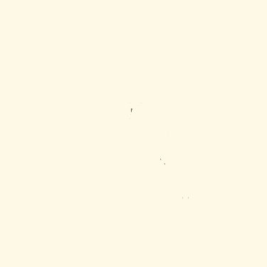 C=CCCC(=O)N(CCOC)C(C)C1CC[C@@]2(O)C3=CC(=O)C4CC(O)CCC4(C)C3CCC12C